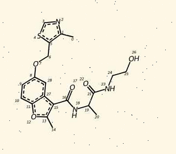 Cc1ncsc1COc1ccc2oc(C)c(C(=O)NC(C)C(=O)NCCO)c2c1